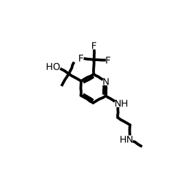 CNCCNc1ccc(C(C)(C)O)c(C(F)(F)F)n1